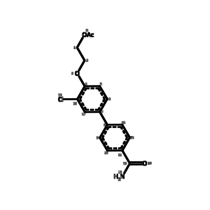 CC(=O)OCCOc1ccc(-c2ccc(C(N)=O)cc2)cc1Cl